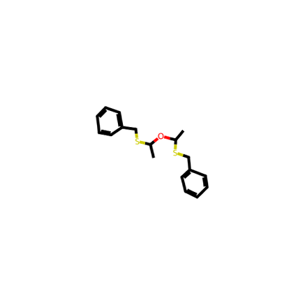 CC(OC(C)SCc1ccccc1)SCc1ccccc1